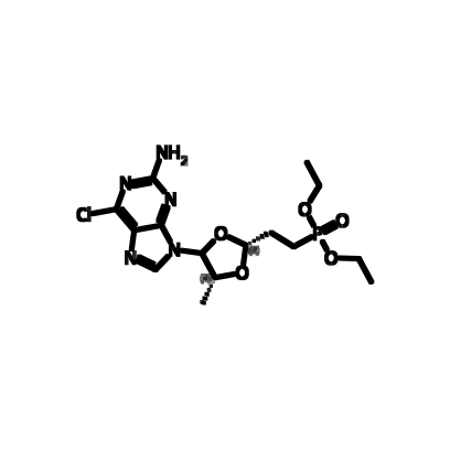 CCOP(=O)(CC[C@H]1OC(n2cnc3c(Cl)nc(N)nc32)[C@@H](C)O1)OCC